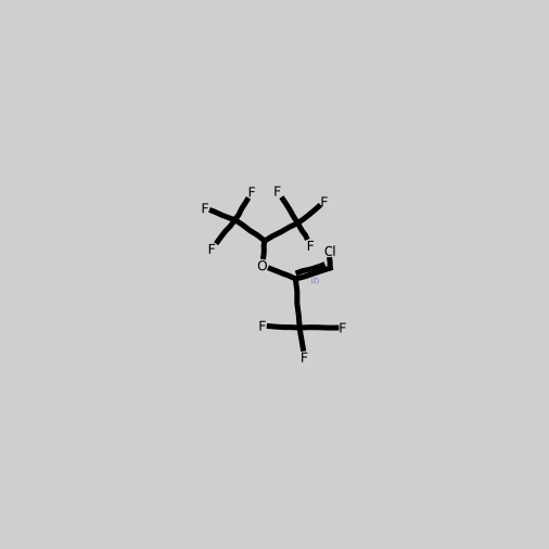 FC(F)(F)/C(=C/Cl)OC(C(F)(F)F)C(F)(F)F